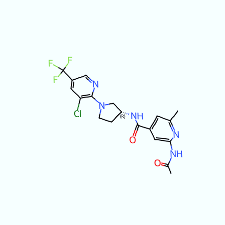 CC(=O)Nc1cc(C(=O)N[C@@H]2CCN(c3ncc(C(F)(F)F)cc3Cl)C2)cc(C)n1